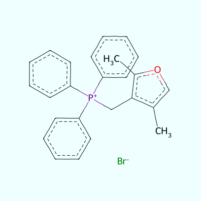 Cc1coc(C)c1C[P+](c1ccccc1)(c1ccccc1)c1ccccc1.[Br-]